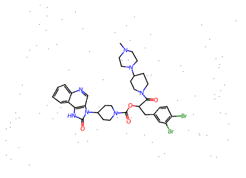 CN1CCN(C2CCN(C(=O)C(Cc3ccc(Br)c(Br)c3)OC(=O)N3CCC(n4c(=O)[nH]c5c6ccccc6ncc54)CC3)CC2)CC1